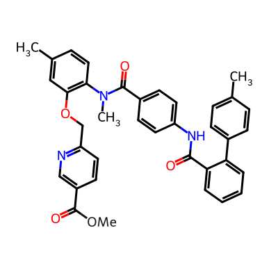 COC(=O)c1ccc(COc2cc(C)ccc2N(C)C(=O)c2ccc(NC(=O)c3ccccc3-c3ccc(C)cc3)cc2)nc1